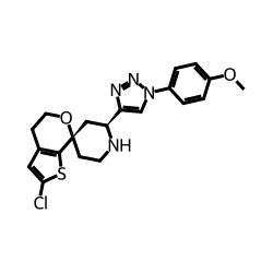 COc1ccc(-n2cc([C@@H]3C[C@]4(CCN3)OCCc3cc(Cl)sc34)nn2)cc1